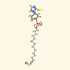 CCCCCCCCCCCCCCOC(=O)c1ccc(-n2ccnc2S)cc1